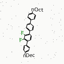 CCCCCCCCCCc1ccc(-c2ccc(-c3ccc(-c4ccc(CCCCCCCC)cc4)cc3)c(F)c2F)cc1